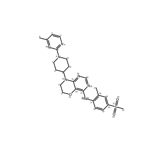 Cc1ccnc(N2CCC(N3CCOc4c(Nc5ccc(S(C)(=O)=O)cc5C)ncnc43)CC2)n1